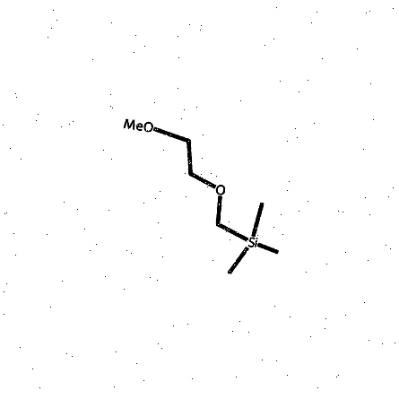 COCCOC[Si](C)(C)C